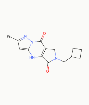 CCc1cc2[nH]c3c(c(=O)n2n1)CN(CC1CCC1)C3=O